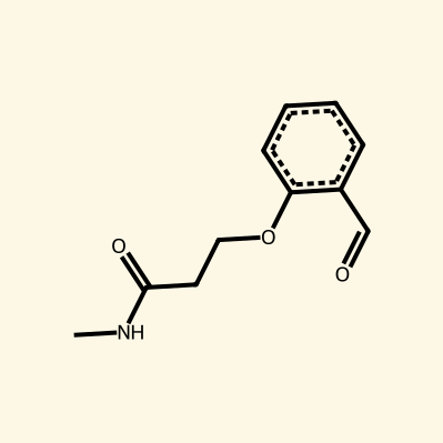 CNC(=O)CCOc1ccccc1C=O